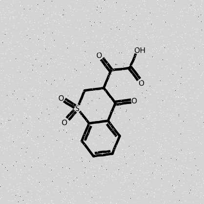 O=C(O)C(=O)C1CS(=O)(=O)c2ccccc2C1=O